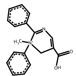 C[N+]1(c2ccccc2)CC(C(=O)O)=CN=C1c1ccccc1